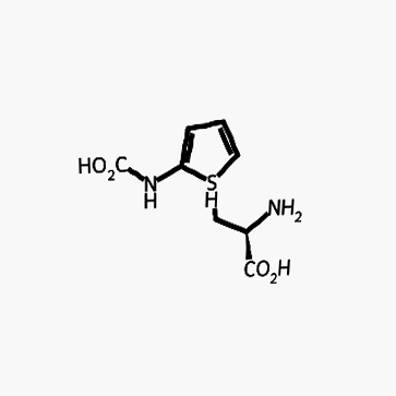 N[C@H](C[SH]1C=CC=C1NC(=O)O)C(=O)O